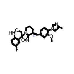 COc1cc(/C=C2\CCCN3C2=NOC32CONc3ccc(F)cc32)ccc1-n1cnc(C)c1